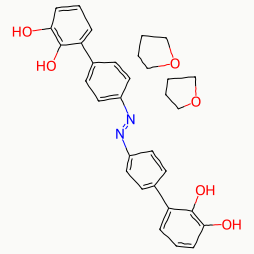 C1CCOC1.C1CCOC1.Oc1cccc(-c2ccc(N=Nc3ccc(-c4cccc(O)c4O)cc3)cc2)c1O